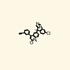 C#Cc1cccc(-c2cc(=O)n(C)c3ccc([C@](C)(c4ccc(Cl)cc4)c4cncn4C)cc23)c1